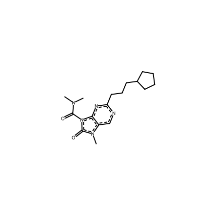 CN(C)C(=O)n1c(=O)n(C)c2cnc(CCCC3CCCC3)nc21